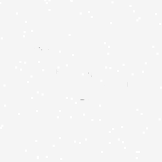 CCCCC(=O)O.CCCCCCCCCCC(O)CNCCO